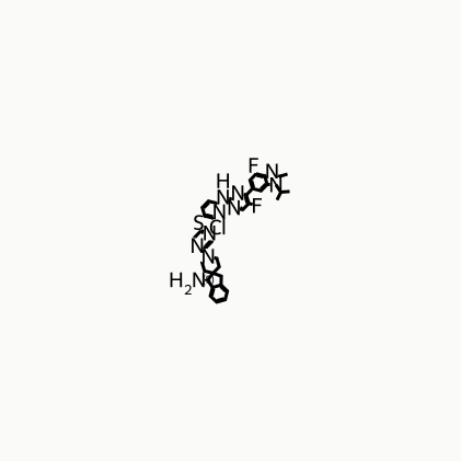 Cc1nc2c(F)cc(-c3nc(Nc4ccc(Sc5cnc(N6CCC7(CC6)Cc6ccccc6[C@H]7N)cn5)c(Cl)n4)ncc3F)cc2n1C(C)C